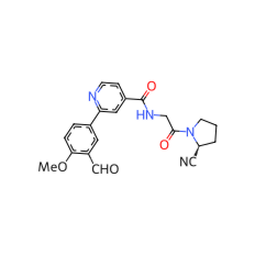 COc1ccc(-c2cc(C(=O)NCC(=O)N3CCC[C@H]3C#N)ccn2)cc1C=O